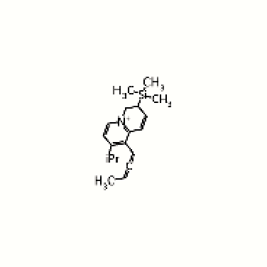 CC=C=Cc1c(C(C)C)cc[n+]2c1C=CC([Si](C)(C)C)C2